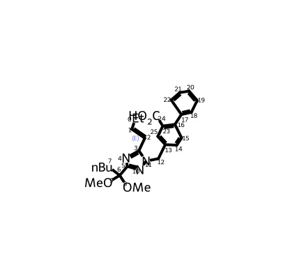 CC/C=C/c1nc(C(CCCC)(OC)OC)nn1Cc1ccc(-c2ccccc2)c(C(=O)O)c1